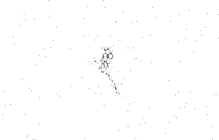 CCC(=O)NNC(=O)OCCSSC[C@H](NC(=O)[C@H](Cc1ccccc1)NC(=O)[C@H](CC(=O)O)NC(=O)CC[C@H](N)C(=O)O)C(=O)O